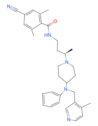 Cc1ccncc1CN(c1ccccc1)C1CCN([C@H](C)CCNC(=O)c2c(C)cc(C#N)cc2C)CC1